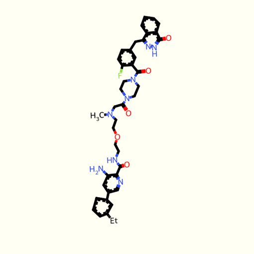 CCc1cccc(-c2cnc(C(=O)NCCOCCN(C)CC(=O)N3CCN(C(=O)c4cc(Cc5n[nH]c(=O)c6ccccc56)ccc4F)CC3)c(N)c2)c1